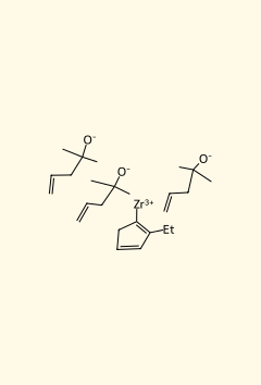 C=CCC(C)(C)[O-].C=CCC(C)(C)[O-].C=CCC(C)(C)[O-].CCC1=[C]([Zr+3])CC=C1